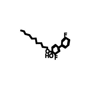 CCCCCCCCCCOC1(O)C=CC(c2cccc(F)c2)=CC1F